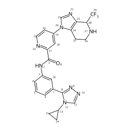 O=C(Nc1cccc(-c2nncn2C2CC2)c1)c1cc(-n2cnc3c2CCNC3C(F)(F)F)ccn1